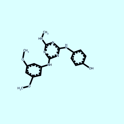 CNc1nc(Nc2ccc(O)cc2)nc(Nc2cc(OC)cc(OC)c2)n1